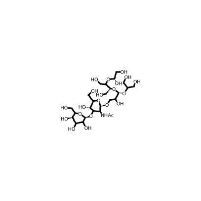 CC(=O)NC1C(O[C@@H]2OC(CO)[C@H](O)C(O)C2O)[C@H](O)C(CO)O[C@H]1OCC(O)[C@@H](OC(CO)CO)O[C@@H](CO)C(CO)O[C@@H](O)CO